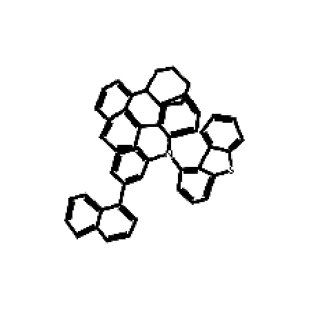 c1cc(-c2cccc3ccccc23)cc(N(c2ccccc2-c2cccc3cccc(C4CCCCC4)c23)c2cccc3sc4ccccc4c23)c1